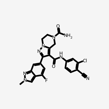 Cn1cc2c(F)cc(-c3nn4c(c3C(=O)Nc3ccc(C#N)c(Cl)c3)CN(C(N)=O)CC4)cc2n1